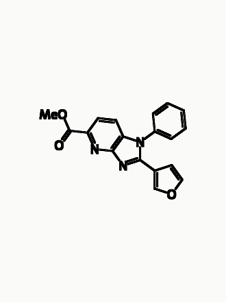 COC(=O)c1ccc2c(n1)nc(-c1ccoc1)n2-c1ccccc1